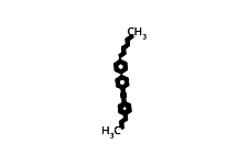 CCCCCCC[C@H]1CC[C@H](C2CCC(C#Cc3ccc(CCCC)cc3)CC2)CC1